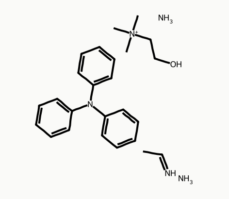 CC=N.C[N+](C)(C)CCO.N.N.c1ccc(N(c2ccccc2)c2ccccc2)cc1